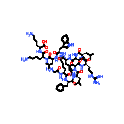 CC(C)C[C@H](NC(=O)[C@H](Cc1c[nH]c2ccccc12)NC(=O)[C@H](CCCCN)NC(=O)[C@H](CC(C)C)NC(=O)[C@H](CC(C)C)NC(=O)[C@H](CCCNC(=N)N)NC(=O)[C@@H]1CCCN1C(=O)[C@H](CC(C)C)NC(=O)[C@H](Cc1ccccc1)NC(=O)[C@H](CCCCN)NC(=O)CN)C(=O)N[C@@H](CCCCN)C(=O)N[C@@H](CCCCN)C(=O)O